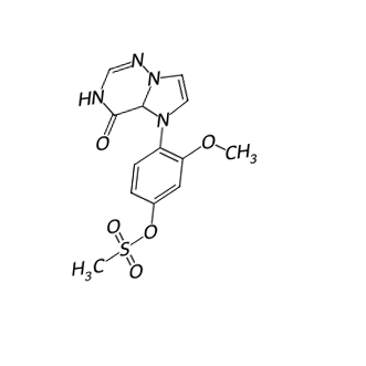 COc1cc(OS(C)(=O)=O)ccc1N1C=CN2N=CNC(=O)C21